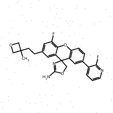 CC1(CCc2cc(F)c3c(c2)C2(COC(N)=N2)c2cc(-c4cccnc4F)ccc2O3)COC1